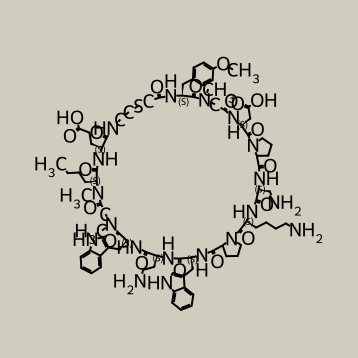 CCCC[C@H]1C(=O)N[C@@H](CCC(=O)O)C(=O)NCCSCC(=O)N[C@@H](Cc2ccc(OC)cc2)C(=O)N(C)CC(=O)N[C@@H](CC(=O)O)C(=O)N2CCCC2C(=O)N[C@@H](CN)C(=O)N[C@@H](CCCCN)C(=O)N2CCCC2C(=O)N[C@@H](Cc2c[nH]c3ccccc23)C(=O)N[C@@H](CCN)C(=O)N[C@@H](Cc2c[nH]c3ccccc23)C(=O)N(C)CC(=O)N1C